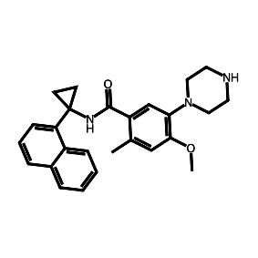 COc1cc(C)c(C(=O)NC2(c3cccc4ccccc34)CC2)cc1N1CCNCC1